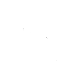 CCS(=O)(=O)NC1C2CN(C[C@@H]3CCNC3)CC21.Cl